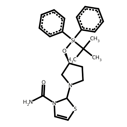 CC(C)(C)[Si](O[C@H]1CCN(C2SC=CN2C(N)=O)C1)(c1ccccc1)c1ccccc1